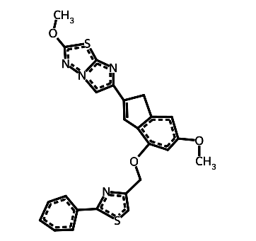 COc1cc2c(c(OCc3csc(-c4ccccc4)n3)c1)C=C(c1cn3nc(OC)sc3n1)C2